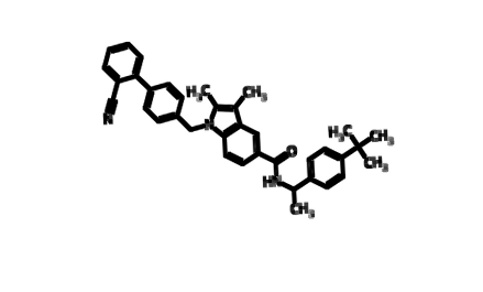 Cc1c(C)n(Cc2ccc(-c3ccccc3C#N)cc2)c2ccc(C(=O)NC(C)c3ccc(C(C)(C)C)cc3)cc12